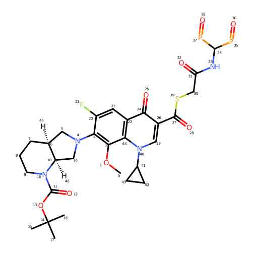 COc1c(N2C[C@@H]3CCCN(C(=O)OC(C)(C)C)[C@@H]3C2)c(F)cc2c(=O)c(C(=O)SCC(=O)NC(P=O)P=O)cn(C3CC3)c12